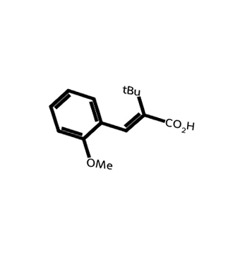 COc1ccccc1C=C(C(=O)O)C(C)(C)C